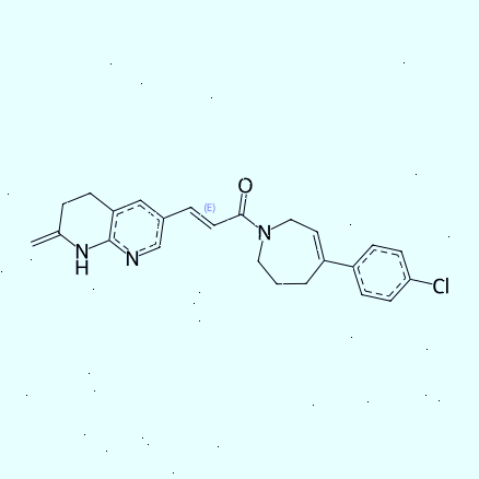 C=C1CCc2cc(/C=C/C(=O)N3CC=C(c4ccc(Cl)cc4)CCC3)cnc2N1